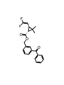 CC1(C)[C@H](C=C(F)F)[C@H]1C(=O)OCc1cccc(C(=O)c2ccccc2)c1